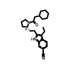 CCc1c(CC[C@@H]2CCCN2C(=O)CC2CCCCC2)[nH]c2cc(C#N)ccc12